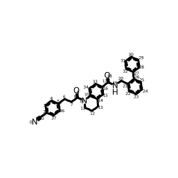 N#Cc1ccc(CCC(=O)N2CCCc3cc(C(=O)NCc4ccccc4-c4ccccc4)ccc32)cc1